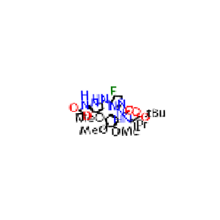 COc1cc(N(C(=O)N[C@H](C(=O)OC(C)(C)C)C(C)C)c2ncc(F)c(Nc3ccc4c(n3)NC(=O)C(C)(C)O4)n2)cc(OC)c1OC